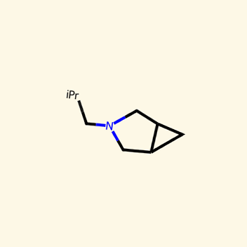 CC(C)CN1CC2CC2C1